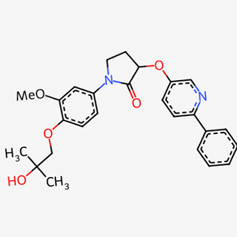 COc1cc(N2CCC(Oc3ccc(-c4ccccc4)nc3)C2=O)ccc1OCC(C)(C)O